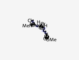 CNC(=O)O[C@H](C/C=C\NC(=O)[C@@H](NC(=O)\C=C/C=C\C(C)=C\[C@H](C)[C@@H]1CC=C(OC)C(=O)O1)C(C)C)C/C=C(\C)Cl